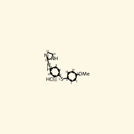 COc1ccc(Sc2ccc(NC3=NCCN3)cc2)cc1.Cl